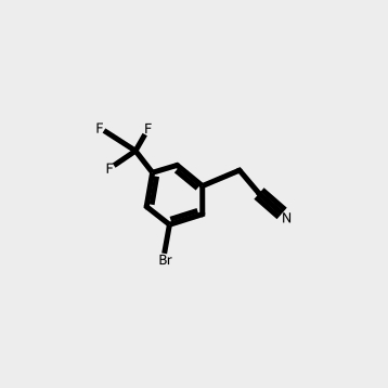 N#CCc1cc(Br)cc(C(F)(F)F)c1